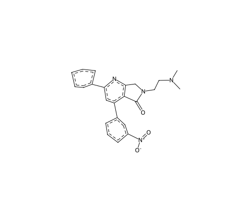 CN(C)CCN1Cc2nc(-c3ccccc3)cc(-c3cccc([N+](=O)[O-])c3)c2C1=O